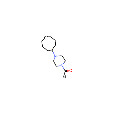 CCC(=O)N1CCN(C2CCCCCCC2)CC1